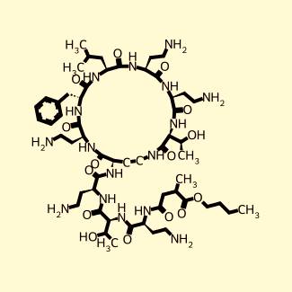 CCCCOC(=O)C(C)CC(=O)N[C@@H](CCN)C(=O)N[C@H](C(=O)N[C@@H](CCN)C(=O)N[C@H]1CCNC(=O)[C@H]([C@H](C)O)NC(=O)[C@H](CCN)NC(=O)[C@H](CCN)NC(=O)[C@H](CC(C)C)NC(=O)[C@@H](Cc2ccccc2)NC(=O)[C@H](CCN)NC1=O)C(C)O